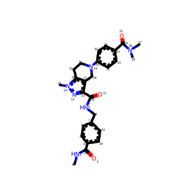 CNC(=O)c1ccc(CNC(=O)c2nn(C)c3c2CN(c2ccc(C(=O)N(C)C)cc2)CC3)cc1